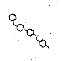 Fc1ccc(CNc2ccc(N3CCN(Cc4ccccc4)CC3)cc2)cc1